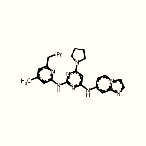 Cc1cc(CC(C)C)nc(Nc2nc(Nc3ccn4ccnc4c3)cc(N3CCCC3)n2)c1